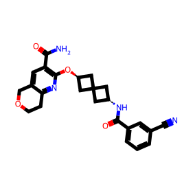 N#Cc1cccc(C(=O)N[C@H]2CC3(C2)C[C@H](Oc2nc4c(cc2C(N)=O)COCC4)C3)c1